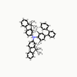 Cc1cc(-c2ccccc2-c2ccccc2)cc(C)c1N(c1ccc2c(c1)C(C)(C)c1ccccc1-2)c1ccc2c(c1)C(C)(C)c1ccccc1-2